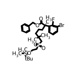 CC(C)(CCC[C@@](C)(C(=O)OCc1ccccc1)c1cccc(Br)c1F)CS(=O)(=O)CCO[Si](C)(C)C(C)(C)C